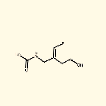 O=C(O)NCC(=CF)CCO